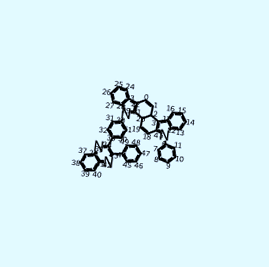 C1=CC2c3c(n(-c4ccccc4)c4ccccc34)C=CC2c2c1c1ccccc1n2-c1ccc(-c2nc3ccccc3nc2-c2ccccc2)cc1